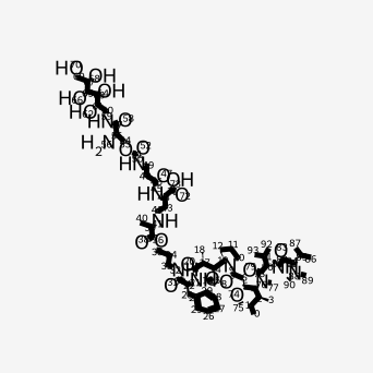 CC[C@H](C)[C@@H]([C@@H](CC(=O)N1CCC[C@H]1[C@H](OC)[C@@H](C)C(=O)N[C@@H](Cc1ccccc1)C(=O)NCCCOC(=O)C(C)NCCC(NC(=O)CCNC(=O)OCC(N)C(=O)NC[C@H](O)[C@@H](O)[C@H](O)[C@H](O)CO)C(=O)O)OC)N(C)C(=O)[C@@H](NC(=O)[C@H](C(C)C)N(C)C)C(C)C